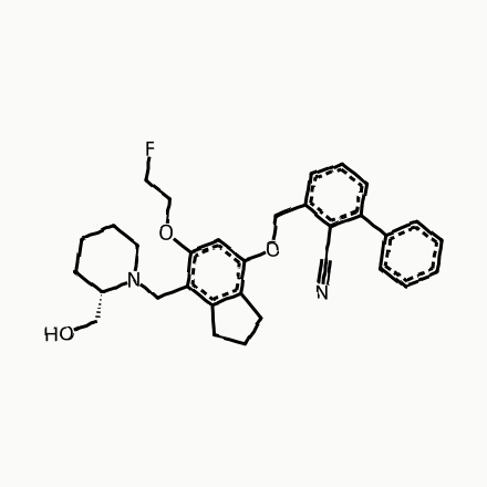 N#Cc1c(COc2cc(OCCF)c(CN3CCCC[C@H]3CO)c3c2CCC3)cccc1-c1ccccc1